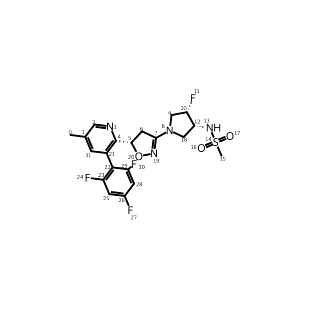 Cc1cnc([C@@H]2CC(N3C[C@H](F)[C@H](NS(C)(=O)=O)C3)=NO2)c(-c2c(F)cc(F)cc2F)c1